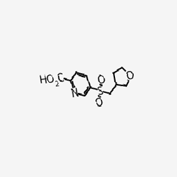 O=C(O)c1ccc(S(=O)(=O)CC2CCOC2)cn1